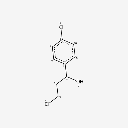 OC(CCCl)c1ccc(Cl)cc1